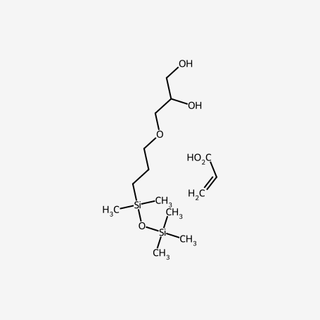 C=CC(=O)O.C[Si](C)(C)O[Si](C)(C)CCCOCC(O)CO